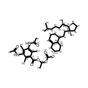 CC(=O)Nc1c(I)c(NC(C)=O)c(I)c(C(=O)OC(C)OC(=O)O[C@H]2CC[C@@]3(C)C(=CCCC3CC[C@@]3(C)CCC[C@@H]3[C@H](C)CCCC(C)C)C2)c1I